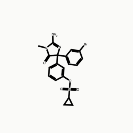 CN1C(=O)C(c2cccc(Br)c2)(c2cccc(OS(=O)(=O)C3CC3)c2)N=C1N